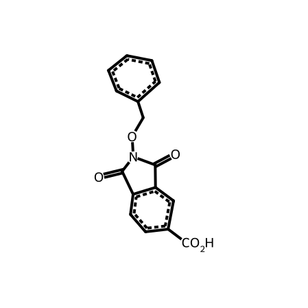 O=C(O)c1ccc2c(c1)C(=O)N(OCc1ccccc1)C2=O